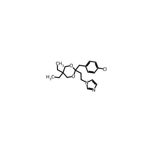 CCC1(CC)COC(CCn2ccnc2)(Cc2ccc(Cl)cc2)OC1